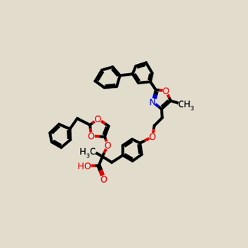 Cc1oc(-c2cccc(-c3ccccc3)c2)nc1CCOc1ccc(CC(C)(OC2=COC(Cc3ccccc3)O2)C(=O)O)cc1